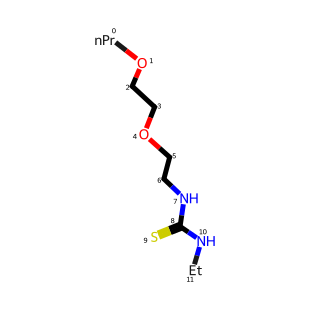 CCCOCCOCCNC(=S)NCC